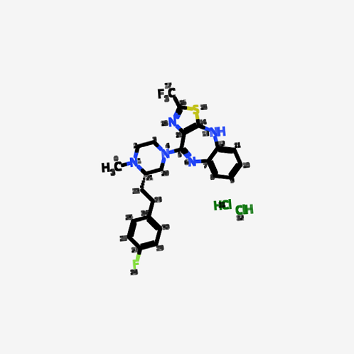 CN1CCN(C2=Nc3ccccc3Nc3sc(C(F)(F)F)nc32)C[C@@H]1CCc1ccc(F)cc1.Cl.Cl